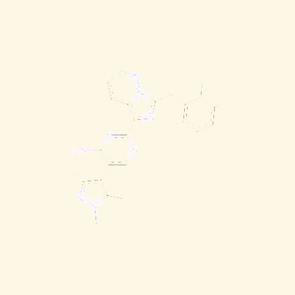 Cc1c(-c2cnc(-c3nc(Cc4c(F)ccc(F)c4F)n4ncccc34)nc2N)c(C(F)(F)F)nn1C